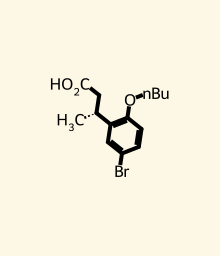 CCCCOc1ccc(Br)cc1[C@H](C)CC(=O)O